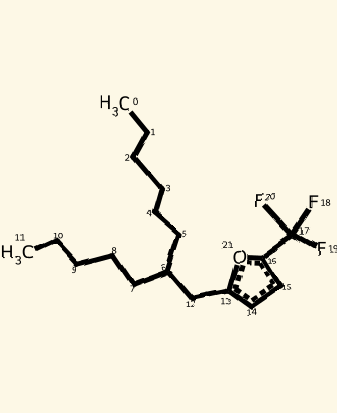 CCCCCCC(CCCCC)Cc1ccc(C(F)(F)F)o1